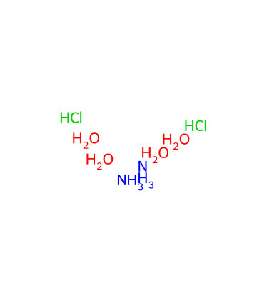 Cl.Cl.N.N.O.O.O.O